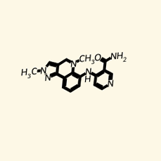 CN1Cc2cn(C)nc2-c2cccc(Nc3ccncc3C(N)=O)c21